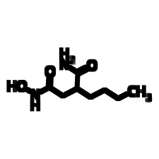 CCCCC(CC(=O)NO)C(N)=O